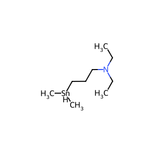 CCN(CC)CC[CH2][SnH]([CH3])[CH3]